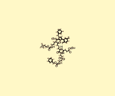 CC(C)(C)OC(=O)CCC(=O)NC(CSCC(=O)N(CCCNC(=O)OCC[Si](C)(C)C)C(c1cc(-c2cc(F)ccc2F)cn1Cc1ccccc1)C(C)(C)C)C(=O)NCCS(=O)(=O)CCNC(=O)OCc1ccccc1